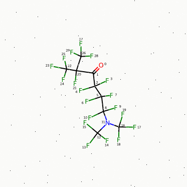 O=C(C(F)(F)C(F)(F)C(F)(F)N(C(F)(F)F)C(F)(F)F)C(F)(C(F)(F)F)C(F)(F)F